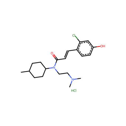 CC1CCC(N(CCN(C)C)C(=O)C=Cc2ccc(O)cc2Cl)CC1.Cl